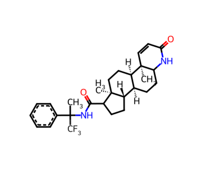 CC(NC(=O)C1CC[C@H]2[C@@H]3CCC4NC(=O)C=C[C@]4(C)[C@@H]3CC[C@]12C)(c1ccccc1)C(F)(F)F